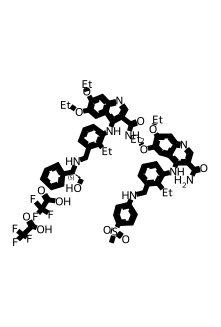 CCOc1cc2ncc(C(N)=O)c(Nc3cccc(CN[C@H](CO)c4ccccc4)c3CC)c2cc1OCC.CCOc1cc2ncc(C(N)=O)c(Nc3cccc(CNc4ccc(S(C)(=O)=O)cc4)c3CC)c2cc1OCC.O=C(O)C(F)(F)F.O=C(O)C(F)(F)F